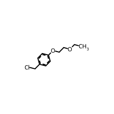 CCOCCOc1ccc(CCl)cc1